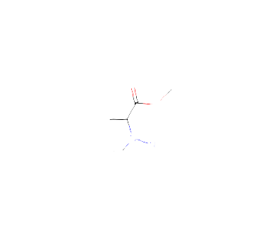 CCOC(=O)C(C)N(N)C(C)=O